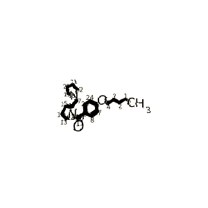 CCCCCOc1ccc(C(=O)N2CCCC2CN2CCCC2)cc1